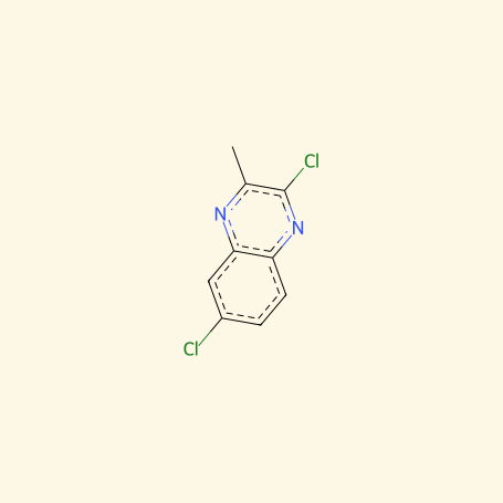 Cc1nc2cc(Cl)ccc2nc1Cl